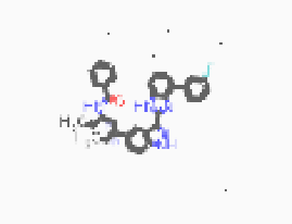 C=C/C(=C\C(=C/C)c1ccc2[nH]nc(-c3nc4c(-c5cccc(F)c5)cccc4[nH]3)c2c1)NC(=O)c1ccccc1